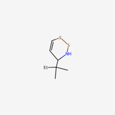 CCC(C)(C)C1C=CSSN1